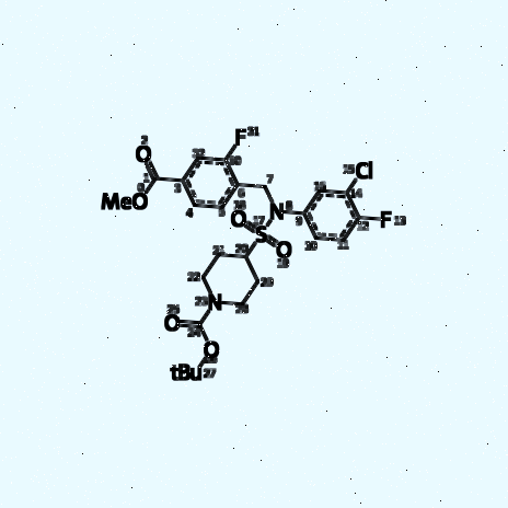 COC(=O)c1ccc(CN(c2ccc(F)c(Cl)c2)S(=O)(=O)C2CCN(C(=O)OC(C)(C)C)CC2)c(F)c1